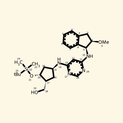 CO[C@@H]1Cc2ccccc2[C@@H]1Nc1cc(N[C@H]2C[C@H](CO)[C@H](O[Si](C)(C)C(C)(C)C)C2)ncn1